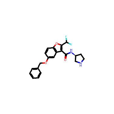 O=C(N[C@H]1CCNC1)c1c(C(F)F)oc2ccc(OCc3ccccc3)cc12